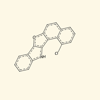 Clc1cccc2ccc3oc4c5ccccc5[nH]c4c3c12